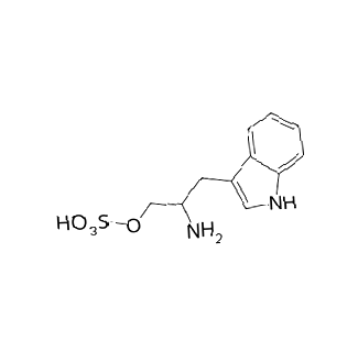 NC(COS(=O)(=O)O)Cc1c[nH]c2ccccc12